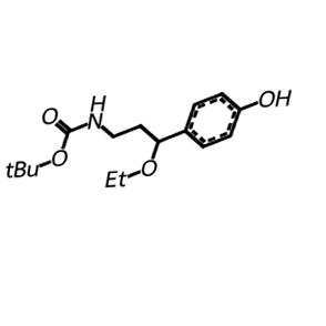 CCOC(CCNC(=O)OC(C)(C)C)c1ccc(O)cc1